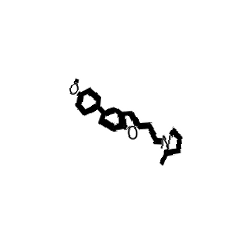 COc1ccc(-c2ccc3oc(CCN4CCCC4C)cc3c2)cc1